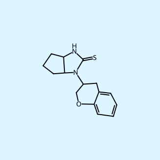 S=C1NC2CCCC2N1C1COc2ccccc2C1